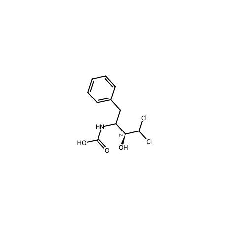 O=C(O)NC(Cc1ccccc1)[C@H](O)C(Cl)Cl